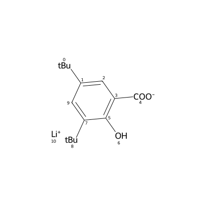 CC(C)(C)c1cc(C(=O)[O-])c(O)c(C(C)(C)C)c1.[Li+]